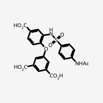 CC(=O)Nc1ccc(S(=O)(=O)Nc2cc(C(=O)O)ccc2Oc2cc(C(=O)O)cc(C(=O)O)c2)cc1